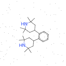 CC1(C)CC(c2ccccc2C2CC(C)(C)NC(C)(C)C2)CC(C)(C)N1